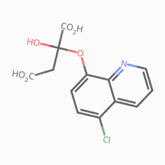 O=C(O)CC(O)(Oc1ccc(Cl)c2cccnc12)C(=O)O